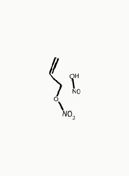 C=CCO[N+](=O)[O-].O=NO